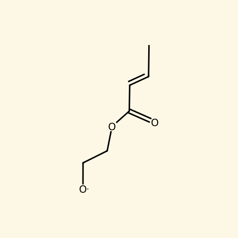 CC=CC(=O)OCC[O]